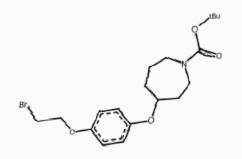 CC(C)(C)OC(=O)N1CCCC(Oc2ccc(OCCBr)cc2)CC1